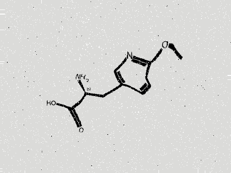 COc1ccc(C[C@H](N)C(=O)O)cn1